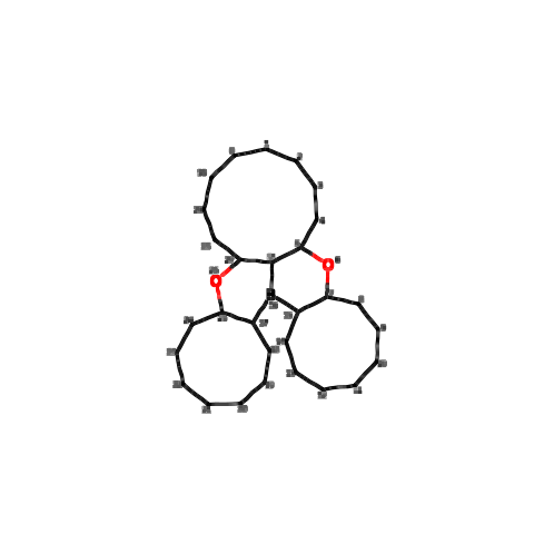 C1CCCCC2OC3CCCCCCCC3B3C4CCCCCCCC4OC(CCC1)C32